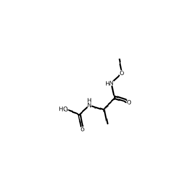 CONC(=O)C(C)NC(=O)O